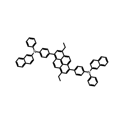 CCc1cc(-c2ccc(N(c3ccccc3)c3ccc4ccccc4c3)cc2)c2ccc3c(CC)cc(-c4ccc(N(c5ccccc5)c5ccc6ccccc6c5)cc4)c4ccc1c2c34